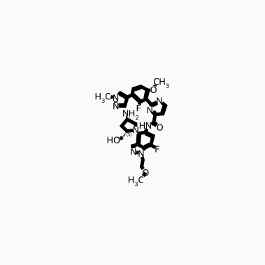 COCCn1ncc2c(N3C[C@@H](N)C[C@H]3CO)c(NC(=O)c3ccnc(-c4c(OC)ccc(-c5cnn(C)c5)c4F)n3)cc(F)c21